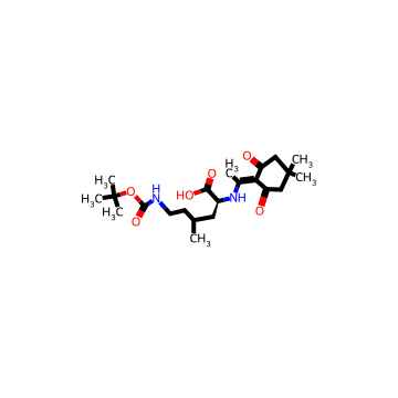 CC(N[C@@H](CC(C)CCNC(=O)OC(C)(C)C)C(=O)O)=C1C(=O)CC(C)(C)CC1=O